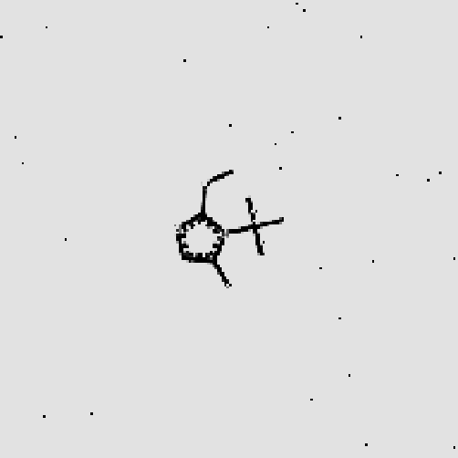 COc1ncc(C)n1C(C)(C)C